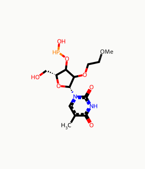 COCCOC1C(OPO)[C@@H](CO)O[C@H]1n1cc(C)c(=O)[nH]c1=O